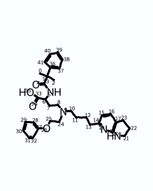 CC(C)(C(=O)NC(CCN(CCCCc1ccc2c(n1)NCCC2)CCOc1ccccc1)C(=O)O)c1ccccc1